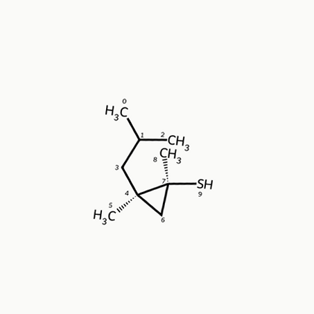 CC(C)C[C@]1(C)C[C@]1(C)S